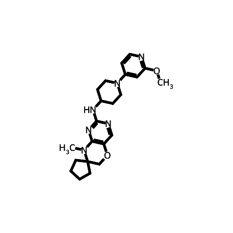 COc1cc(N2CCC(Nc3ncc4c(n3)N(C)C3(CCCC3)CO4)CC2)ccn1